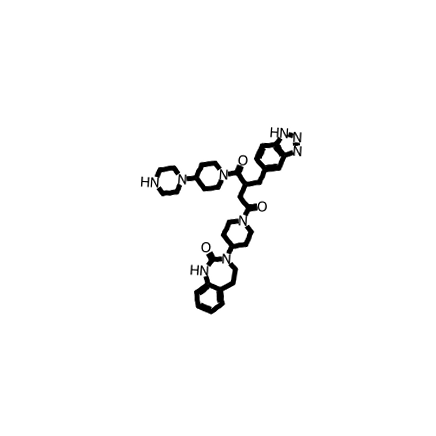 O=C(CC(Cc1ccc2[nH]nnc2c1)C(=O)N1CCC(N2CCNCC2)CC1)N1CCC(N2CCc3ccccc3NC2=O)CC1